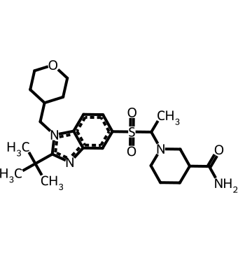 CC(N1CCCC(C(N)=O)C1)S(=O)(=O)c1ccc2c(c1)nc(C(C)(C)C)n2CC1CCOCC1